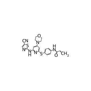 C=CC(=O)Nc1ccc(Sc2cc(N3CCOCC3)cc(Nc3ncc(C#N)s3)n2)cc1